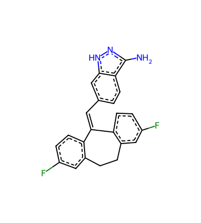 Nc1n[nH]c2cc(C=C3c4ccc(F)cc4CCc4cc(F)ccc43)ccc12